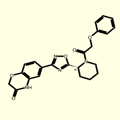 O=C1COc2ccc(-c3noc([C@H]4CCCCN4C(=O)COc4ccccc4)n3)cc2N1